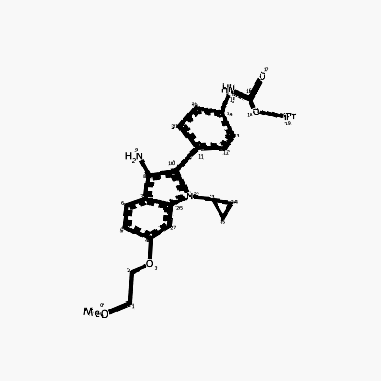 COCCOc1ccc2c(N)c(-c3ccc(NC(=O)OC(C)C)cc3)n(C3CC3)c2c1